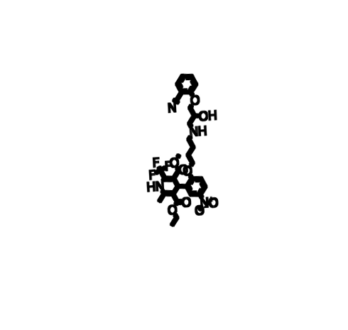 CCOC(=O)C1=C(C)NC(C(F)(F)F)=C(C(=O)OC)C1c1cc([N+](=O)[O-])ccc1OCCCCNCC(O)COc1ccccc1C#N